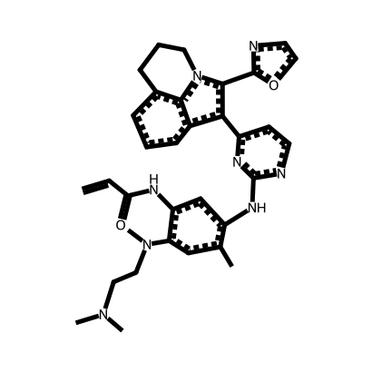 C=CC(=O)Nc1cc(Nc2nccc(-c3c(-c4ncco4)n4c5c(cccc35)CCC4)n2)c(C)cc1N(C)CCN(C)C